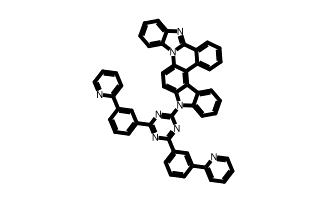 c1ccc(-c2cccc(-c3nc(-c4cccc(-c5ccccn5)c4)nc(-n4c5ccccc5c5c6c7ccccc7c7nc8ccccc8n7c6ccc54)n3)c2)nc1